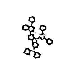 c1ccc(-c2nc(-c3ccccc3)nc(-n3c4ccc(N(c5ccccc5)c5ccccc5)cc4c4ccc5c(oc6cc(-c7ccccc7)c7ccccc7c65)c43)n2)cc1